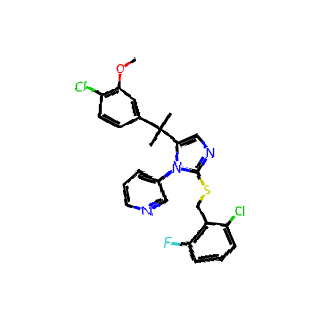 COc1cc(C(C)(C)c2cnc(SCc3c(F)cccc3Cl)n2-c2cccnc2)ccc1Cl